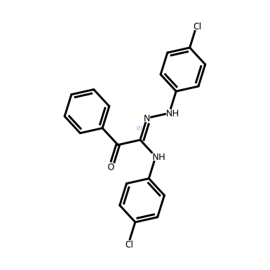 O=C(/C(=N/Nc1ccc(Cl)cc1)Nc1ccc(Cl)cc1)c1ccccc1